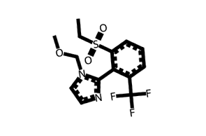 CCS(=O)(=O)c1cccc(C(F)(F)F)c1-c1nccn1COC